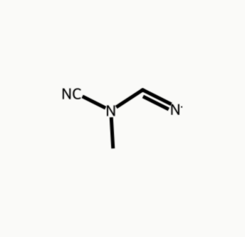 CN(C#N)C=[N]